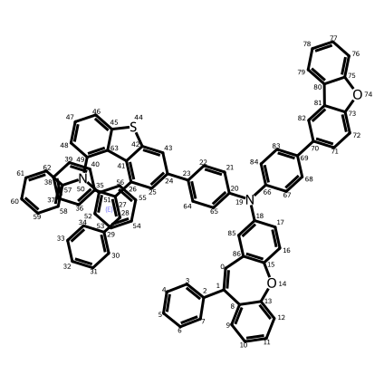 C1=C(c2ccccc2)c2ccccc2Oc2ccc(N(c3ccc(-c4cc(/C(=C/c5ccccc5)c5ccccc5)c5c(c4)sc4cccc(N(c6ccccc6)c6ccccc6)c45)cc3)c3ccc(-c4ccc5oc6ccccc6c5c4)cc3)cc21